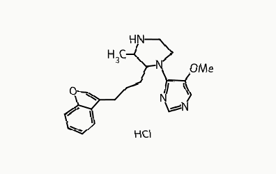 COc1cncnc1N1CCNC(C)C1CCCc1coc2ccccc12.Cl